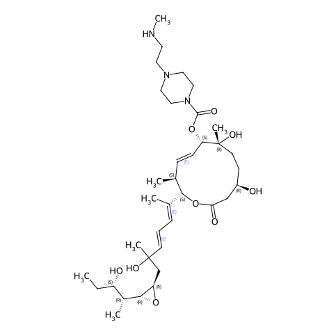 CC[C@H](O)[C@@H](C)[C@H]1O[C@@H]1CC(C)(O)/C=C/C=C(\C)[C@H]1OC(=O)C[C@H](O)CC[C@@](C)(O)[C@@H](OC(=O)N2CCN(CCNC)CC2)/C=C/[C@@H]1C